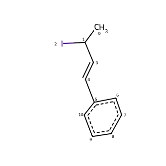 CC(I)/C=C/c1ccccc1